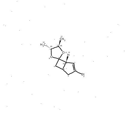 CCC1=C[C@@H]2C(C1)CC21O[C@H](C)[C@@H](C)O1